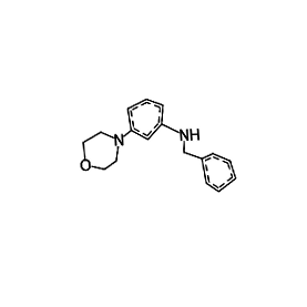 c1ccc(CNc2cccc(N3CCOCC3)c2)cc1